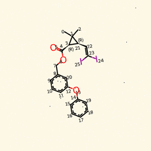 CC1(C)[C@H](C(=O)OCc2cccc(Oc3ccccc3)c2)[C@@H]1C=C(I)I